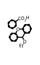 CCOC1c2ccccc2Oc2ccccc21.O=C(O)c1ccccc1